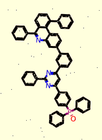 O=P(c1ccccc1)(c1ccccc1)c1ccc(-c2cc(-c3cccc(-c4ccc5c(c4)nc(-c4ccccc4)c4cccc(-c6ccccc6)c45)c3)nc(-c3ccccc3)n2)cc1